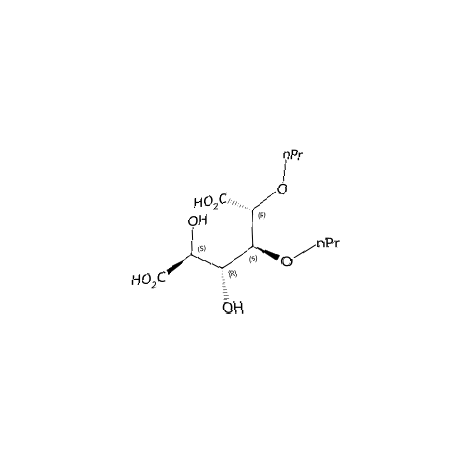 CCCO[C@@H]([C@H](O)[C@H](O)C(=O)O)[C@@H](OCCC)C(=O)O